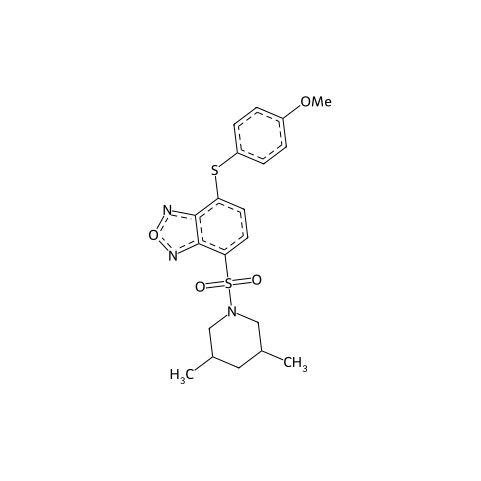 COc1ccc(Sc2ccc(S(=O)(=O)N3CC(C)CC(C)C3)c3nonc23)cc1